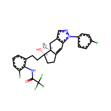 C[C@]12Cc3cnn(-c4ccc(F)cc4)c3C=C1CC[C@@]2(O)CCc1cccc(F)c1NC(=O)C(F)(F)F